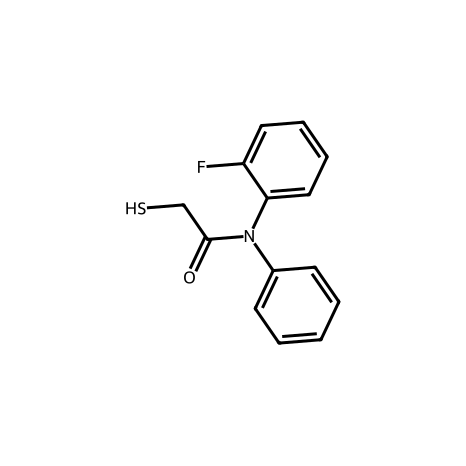 O=C(CS)N(c1ccccc1)c1ccccc1F